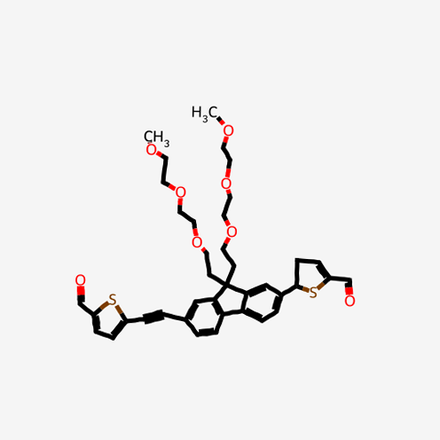 COCCOCCOCCC1(CCOCCOCCOC)c2cc(C#Cc3ccc(C=O)s3)ccc2-c2ccc(C3CC=C(C=O)S3)cc21